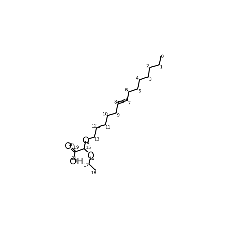 CCCCCCCC=CCCCCCOC(OCC)C(=O)O